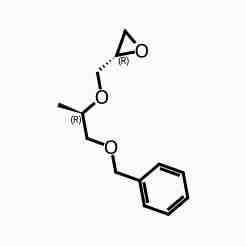 C[C@H](COCc1ccccc1)OC[C@@H]1CO1